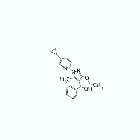 CCOc1nn(-c2ccc(C3CC3)cn2)c(C)c1C(O)c1ccccc1